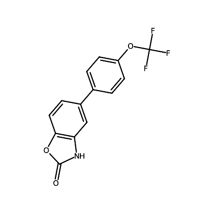 O=c1[nH]c2cc(-c3ccc(OC(F)(F)F)cc3)ccc2o1